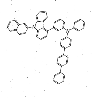 c1ccc(-c2ccc(-c3ccc(N(c4ccccc4)c4cccc(-c5cccc6c5c5ccccc5n6-c5ccc6ccccc6c5)c4)cc3)cc2)cc1